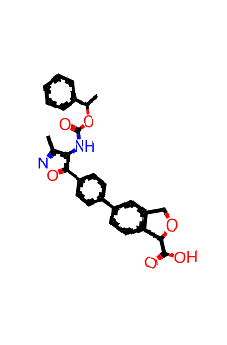 Cc1noc(-c2ccc(-c3ccc4c(c3)COC4C(=O)O)cc2)c1NC(=O)OC(C)c1ccccc1